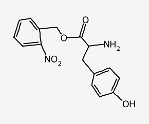 NC(Cc1ccc(O)cc1)C(=O)OCc1ccccc1[N+](=O)[O-]